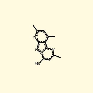 Cc1cc(C)c2c(n1)nn1c(S)cc(C)nc21